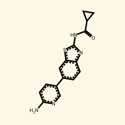 Nc1ccc(-c2ccc3nc(NC(=O)C4CC4)sc3c2)cn1